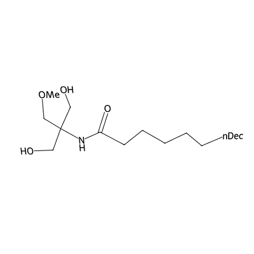 CCCCCCCCCCCCCCCC(=O)NC(CO)(CO)COC